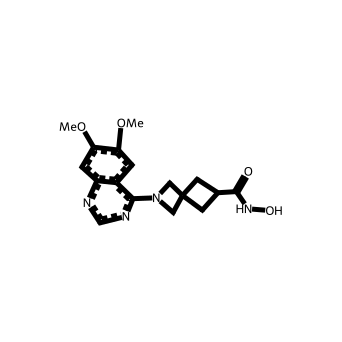 COc1cc2ncnc(N3CC4(CC(C(=O)NO)C4)C3)c2cc1OC